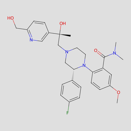 COc1ccc(N2CCN(C[C@@](C)(O)c3ccc(CO)nc3)C[C@H]2c2ccc(F)cc2)c(C(=O)N(C)C)c1